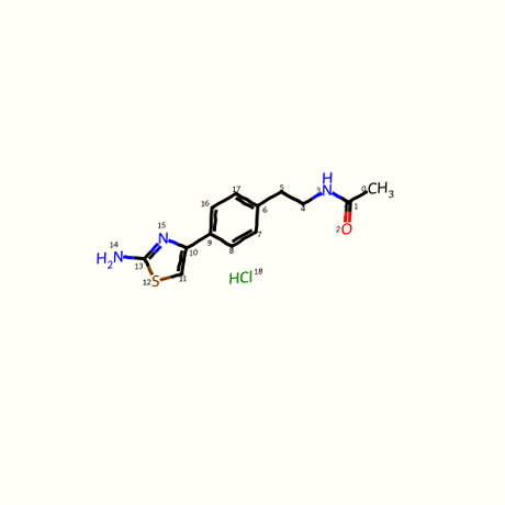 CC(=O)NCCc1ccc(-c2csc(N)n2)cc1.Cl